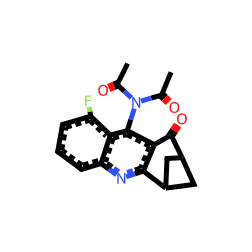 CC(=O)N(C(C)=O)c1c2c(nc3cccc(F)c13)C1CC(C1)C2=O